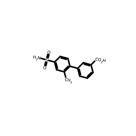 Cc1cc(S(N)(=O)=O)ccc1-c1cccc(C(=O)O)c1